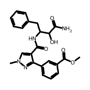 COC(=O)c1cccc(-c2nn(C)cc2C(=O)NC(Cc2ccccc2)C(O)C(N)=O)c1